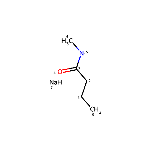 CCCC(=O)[N]C.[NaH]